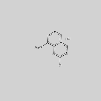 COc1cccc2cnc(Cl)nc12.Cl